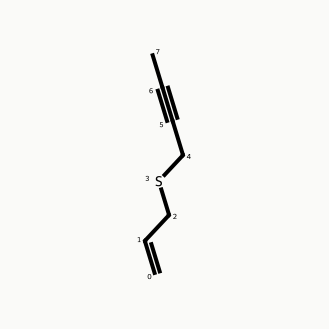 C=CCSCC#CC